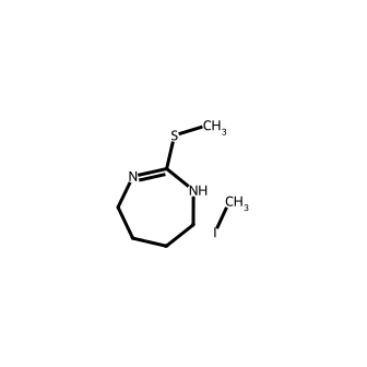 CI.CSC1=NCCCCN1